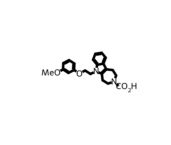 COc1cccc(OCCn2c3c(c4ccccc42)CCN(C(=O)O)CC3)c1